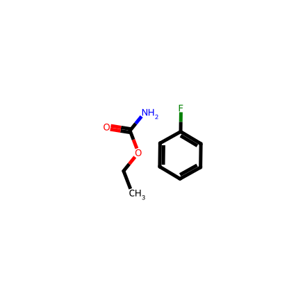 CCOC(N)=O.Fc1ccccc1